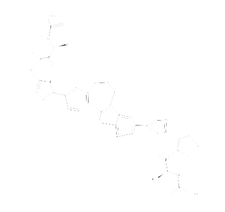 CCCN(Cc1ncc(-c2ccc3c(c2)CCCc2c-3oc3ccc(-c4cnc([C@@H]5CCCN5C(=O)[C@@H](NC(=O)OC)C(C)C)[nH]4)cc23)[nH]1)C(=O)[C@@H](NC(=O)OC)C(C)C